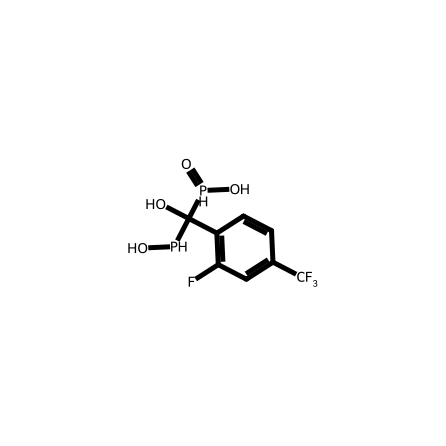 O=[PH](O)C(O)(PO)c1ccc(C(F)(F)F)cc1F